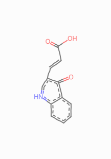 O=C(O)C=Cc1c[nH]c2ccccc2c1=O